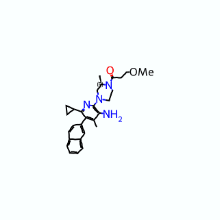 COCCC(=O)N1CCN(c2nc(C3CC3)c(-c3ccc4ccccc4c3)c(C)c2N)C[C@H]1C